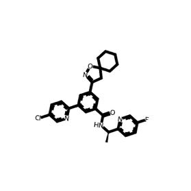 C[C@@H](NC(=O)c1cc(C2=NOC3(CCCCC3)C2)cc(-c2ccc(Cl)cn2)c1)c1ccc(F)cn1